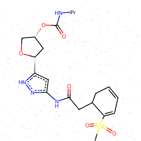 CC(C)NC(=O)O[C@H]1CO[C@@H](c2cc(NC(=O)CC3CC=CC=C3S(C)(=O)=O)n[nH]2)C1